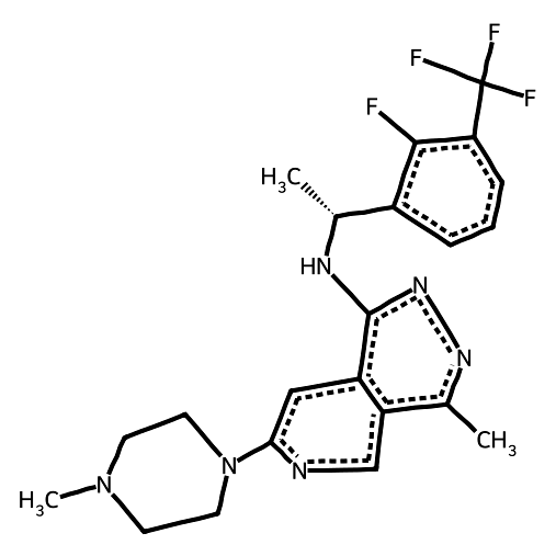 Cc1nnc(N[C@H](C)c2cccc(C(F)(F)F)c2F)c2cc(N3CCN(C)CC3)ncc12